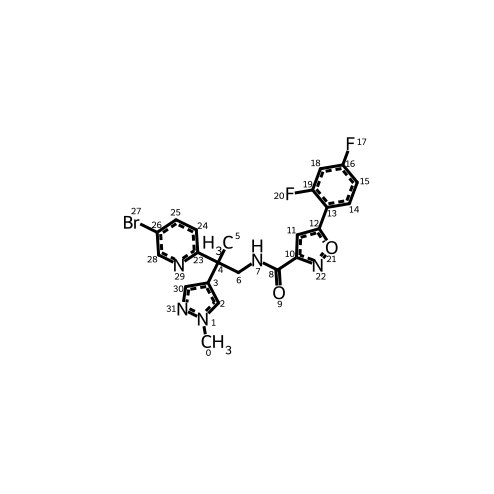 Cn1cc(C(C)(CNC(=O)c2cc(-c3ccc(F)cc3F)on2)c2ccc(Br)cn2)cn1